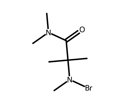 CN(C)C(=O)C(C)(C)N(C)Br